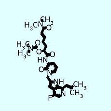 CC(C)=Cc1ncc(F)c2cc(Cn3cccc(NC(=O)C(CCC=CC(=O)N(C)C)OC(=O)N(C)C)c3=O)[nH]c12